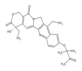 CCc1c2c(nc3ccc(OC(C)(C)C(C)=O)cc13)-c1cc3c(c(=O)n1C2)COC(=O)[C@]3(O)CC